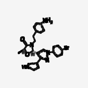 C[C@@H]1O[C@@H](c2cn(-c3ccc(Br)cc3)nc2-c2cc[nH]c2)N(CCc2ccc(N)cc2)C1=O